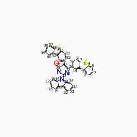 c1ccc2c(c1)sc1ccc(-c3nc(-n4c5ccccc5c5ccccc54)nc4oc5c(ccc6sc7ccccc7c65)c34)cc12